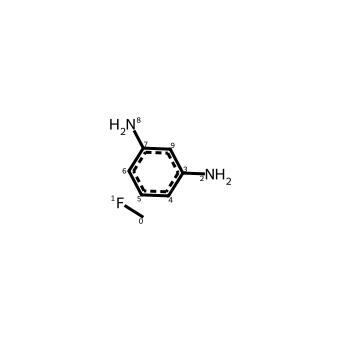 CF.Nc1cccc(N)c1